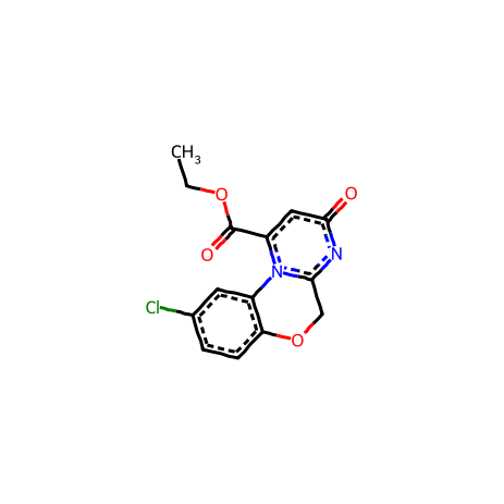 CCOC(=O)c1cc(=O)nc2n1-c1cc(Cl)ccc1OC2